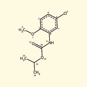 COc1ccc(Cl)cc1NC(=O)OC(C)C